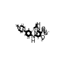 COc1cc(Nc2ccc(N3CCN(C)CC3)cc2)nc(NC(C)C)c1[N+](=O)[O-]